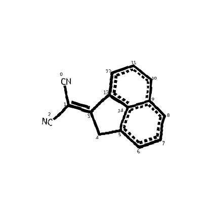 N#CC(C#N)=C1Cc2cccc3cccc1c23